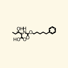 CC[C@@H](O)[C@H](NC(=O)OCCCCCc1ccccc1)C(=O)O